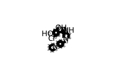 Oc1cc(O)c(-c2n[nH]c3c2CN(Cc2ccc(N4CCCCC4)cc2)CC3)cc1Cl